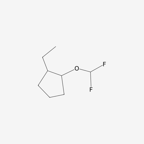 CCC1CCCC1OC(F)F